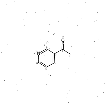 CC(=O)c1cccnc1.[Ir]